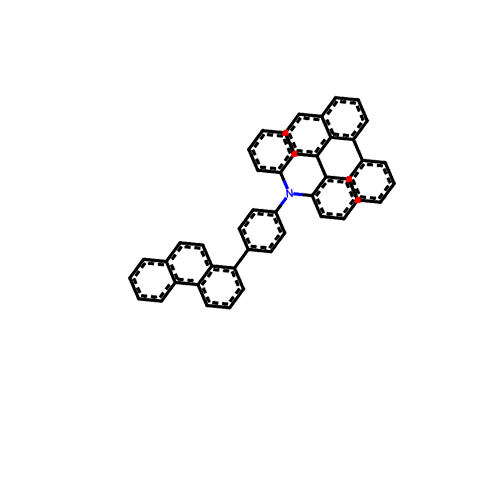 c1ccc(-c2cccc3cccc(-c4ccccc4N(c4ccccc4)c4ccc(-c5cccc6c5ccc5ccccc56)cc4)c23)cc1